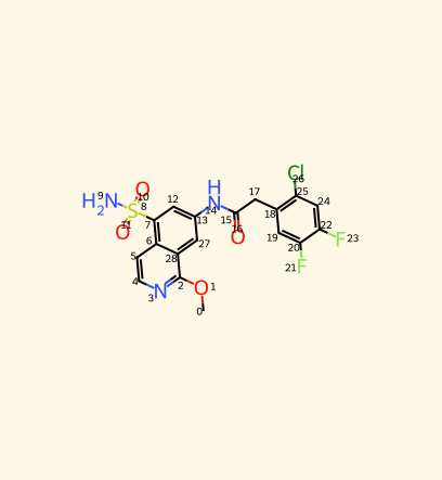 COc1nccc2c(S(N)(=O)=O)cc(NC(=O)Cc3cc(F)c(F)cc3Cl)cc12